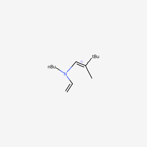 C=CN(/C=C(\C)C(C)(C)C)CCCC